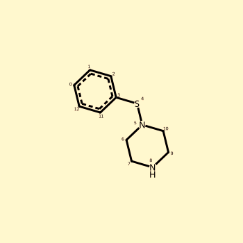 c1ccc(SN2CCNCC2)cc1